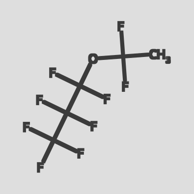 CC(F)(F)OC(F)(F)C(F)(F)C(F)(F)F